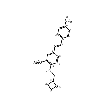 COc1cc(/C=C/c2ccc(C(=O)O)cc2)ccc1OCC1CCO1